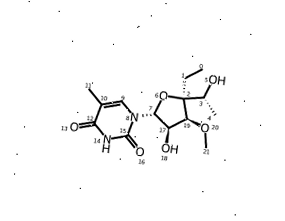 CC[C@@]1([C@@H](C)O)O[C@@H](n2cc(C)c(=O)[nH]c2=O)[C@H](O)[C@@H]1OC